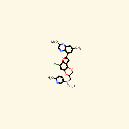 COc1cnc2c(-c3cc4c5c(cc(Cl)c4o3)OC(CN(C(=O)O)c3ccc(C)nc3)CO5)cc(C)cc2n1